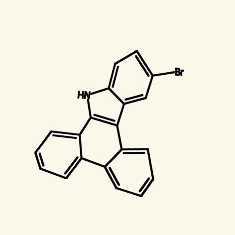 Brc1ccc2[nH]c3c4ccccc4c4ccccc4c3c2c1